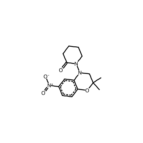 CC1(C)CN(N2CCCCC2=O)c2cc([N+](=O)[O-])ccc2O1